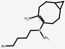 CC(=O)CCCCN(N)/C1=C(\N)CCC2CC2CC1